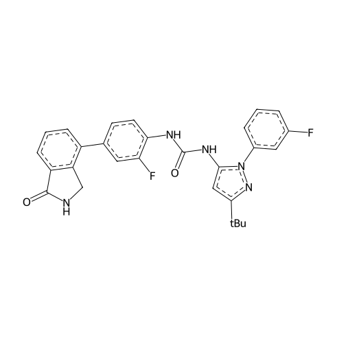 CC(C)(C)c1cc(NC(=O)Nc2ccc(-c3cccc4c3CNC4=O)cc2F)n(-c2cccc(F)c2)n1